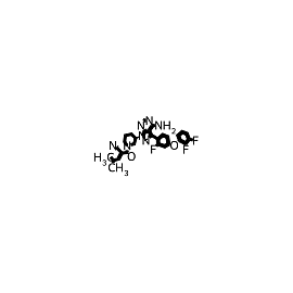 CC(C)/C=C(\C#N)C(=O)N1CCC[C@@H](n2nc(-c3ccc(Oc4cccc(F)c4F)cc3F)c3c(N)ncnc32)C1